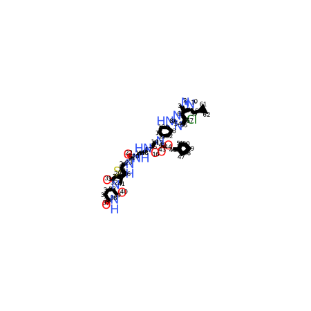 Cn1ncc(-c2nc(NC3CCC(N(CC(=O)NCCNC(=O)NCc4cc5c(s4)C(=O)N(C4CCC(=O)NC4=O)C5)C(=O)OCc4ccccc4)CC3)ncc2Cl)c1CC1CC1